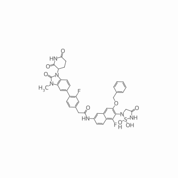 Cn1c(=O)n(C2CCC(=O)NC2=O)c2ccc(-c3ccc(CC(=O)Nc4ccc5c(F)c(N6CC(=O)NS6(O)O)c(OCc6ccccc6)cc5c4)cc3F)cc21